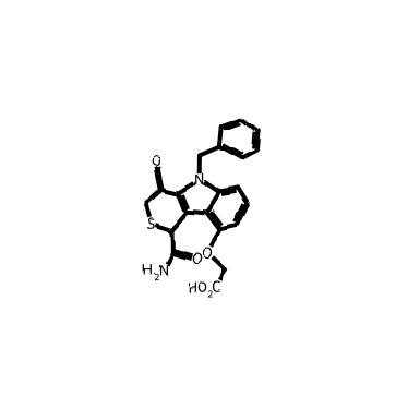 NC(=O)C1SCC(=O)c2c1c1c(OCC(=O)O)cccc1n2Cc1ccccc1